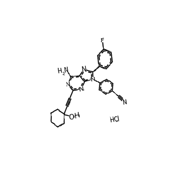 Cl.N#Cc1ccc(-n2c(-c3cccc(F)c3)nc3c(N)nc(C#CC4(O)CCCCC4)nc32)cc1